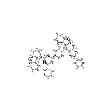 c1ccc(-c2nc(-c3ccc(-c4c5nc(-c6ccccc6)oc5cc5oc6ccccc6c45)cc3)nc(-c3cccc4oc5ccccc5c34)n2)cc1